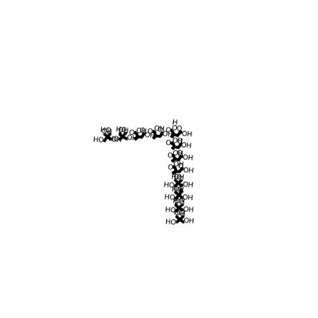 C=C(CC(=O)O)C(=O)O.C=C(CC(=O)O)C(=O)O.C=C(CC(=O)O)C(=O)O.C=C(CC(=O)O)C(=O)O.C=C(CC(=O)O)C(=O)O.C=C(CC(=O)O)C(=O)O.OCC(CO)(CO)CO.OCC(CO)(CO)CO.OCC(CO)(CO)CO.OCC(CO)(CO)CO.OCC(CO)(CO)CO.OCC(CO)(CO)CO